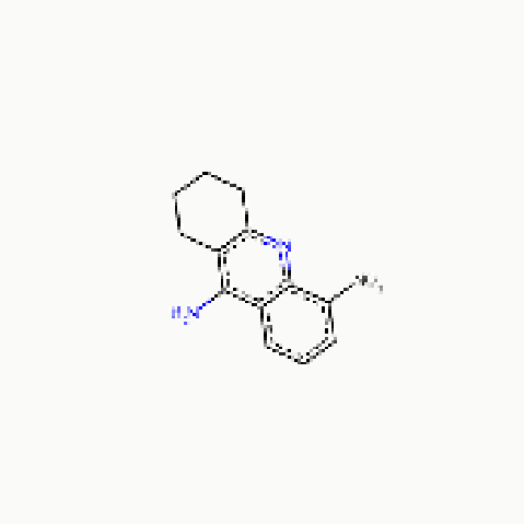 Nc1c2c(nc3c([N+](=O)[O-])cccc13)CCCC2